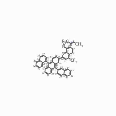 C=Nc1c(/C(=C\C)C(F)(F)F)ccc2c(C(F)(F)F)cc(-c3ccc4c(-c5cccc6ccccc56)c5ccccc5c(-c5ccc6ccccc6c5)c4c3)nc12